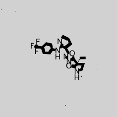 CC[C@]1(c2nnc(-c3cccnc3Nc3ccc(C(F)(F)F)cc3)o2)CCNC1=O